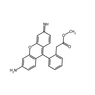 COC(=O)Cc1ccccc1-c1c2ccc(=N)cc-2oc2cc(N)ccc12